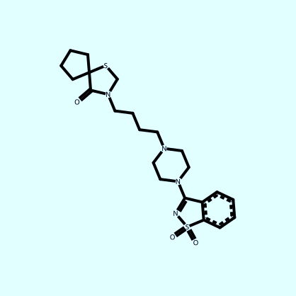 O=C1N(CCCCN2CCN(C3=NS(=O)(=O)c4ccccc43)CC2)CSC12CCCC2